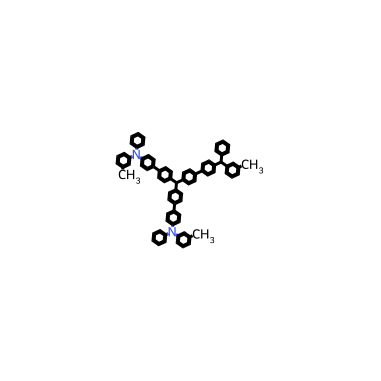 Cc1cccc(C(c2ccccc2)c2ccc(-c3ccc(C(c4ccc(-c5ccc(N(c6ccccc6)c6cccc(C)c6)cc5)cc4)c4ccc(-c5ccc(N(c6ccccc6)c6cccc(C)c6)cc5)cc4)cc3)cc2)c1